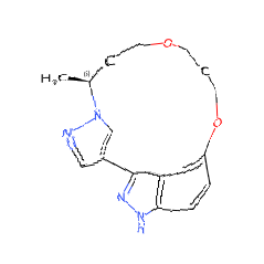 C[C@H]1CCOCCCOc2ccc3[nH]nc(c3c2)-c2cnn1c2